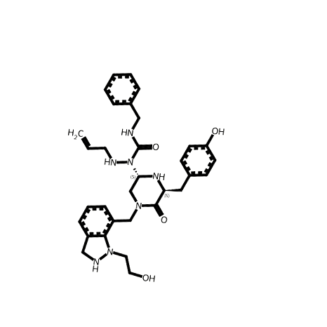 C=CCNN(C(=O)NCc1ccccc1)[C@H]1CN(Cc2cccc3c2N(CCO)NC3)C(=O)[C@H](Cc2ccc(O)cc2)N1